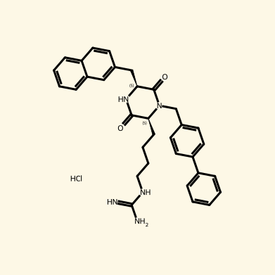 Cl.N=C(N)NCCCC[C@H]1C(=O)N[C@@H](Cc2ccc3ccccc3c2)C(=O)N1Cc1ccc(-c2ccccc2)cc1